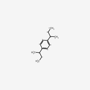 CCC(C)c1ccc(C(C)CC)cc1